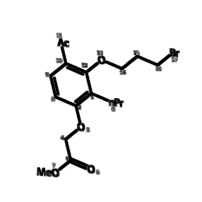 CCCc1c(OCC(=O)OC)ccc(C(C)=O)c1OCCCBr